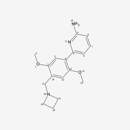 COc1cc(-c2cccc(N)n2)c(OC)cc1CN1CCC1